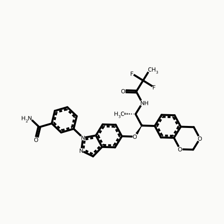 C[C@H](NC(=O)C(C)(F)F)[C@H](Oc1ccc2c(cnn2-c2cccc(C(N)=O)c2)c1)c1ccc2c(c1)OCOC2